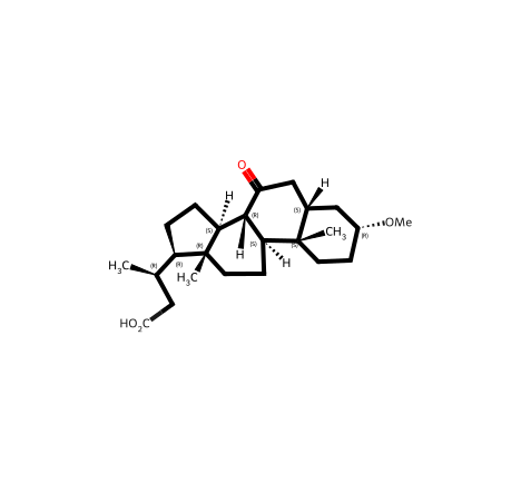 CO[C@@H]1CC[C@@]2(C)[C@H](CC(=O)[C@@H]3[C@@H]2CC[C@]2(C)[C@@H]([C@H](C)CC(=O)O)CC[C@@H]32)C1